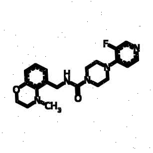 CN1CCOc2cccc(CNC(=O)N3CCN(c4ccncc4F)CC3)c21